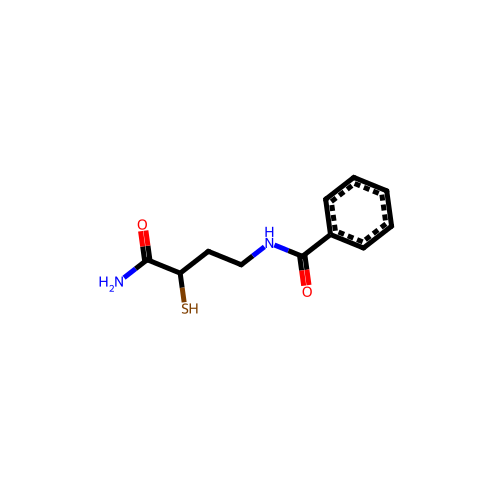 NC(=O)C(S)CCNC(=O)c1ccccc1